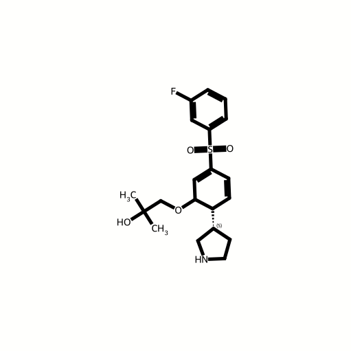 CC(C)(O)COC1C=C(S(=O)(=O)c2cccc(F)c2)C=CC1[C@@H]1CCNC1